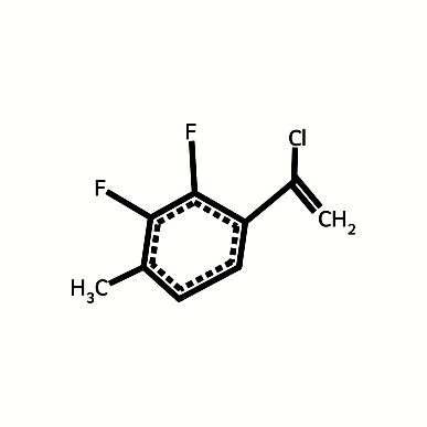 C=C(Cl)c1ccc(C)c(F)c1F